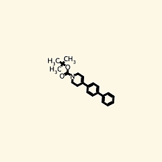 CC(C)(C)OC(=O)N1CC=C(c2ccc(-c3ccccc3)cc2)CC1